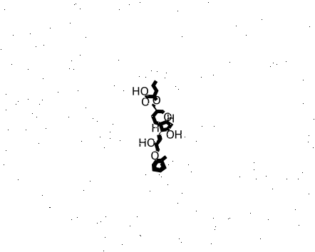 CCCC(OC[C@@H]1CC[C@@H]2[C@@H](C=C[C@@H](O)COc3ccccc3C)[C@H](O)C[C@@H]2OC1)C(=O)O